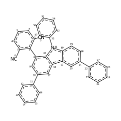 N#Cc1cccc(C#N)c1-c1cc(-c2ccccc2)cc2c3cc(-c4ccccc4)ccc3n(-c3ccccc3)c12